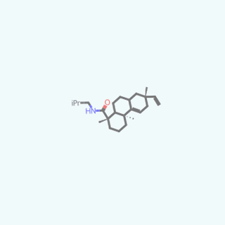 C=C[C@]1(C)CC=C2C(CCC3[C@@](C)(C(=O)NCC(C)C)CCC[C@]23C)C1